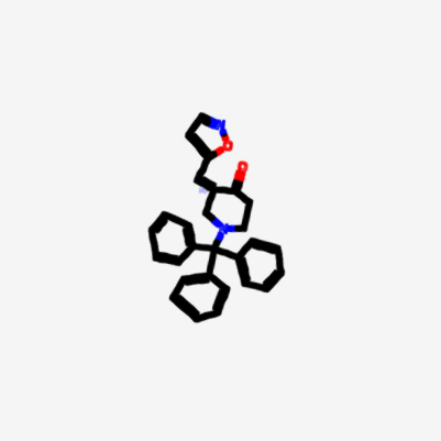 O=C1CCN(C(c2ccccc2)(c2ccccc2)c2ccccc2)C/C1=C/c1ccno1